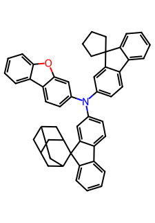 c1ccc2c(c1)-c1ccc(N(c3ccc4c(c3)C3(c5ccccc5-4)C4CC5CC(C4)CC3C5)c3ccc4c(c3)oc3ccccc34)cc1C21CCCC1